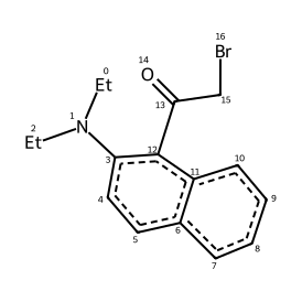 CCN(CC)c1ccc2ccccc2c1C(=O)CBr